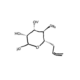 C=CC[C@@H]1OC(O)[C@H](O)[C@H](O)[C@H]1OC